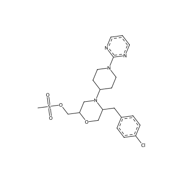 CS(=O)(=O)OCC1CN(C2CCN(c3ncccn3)CC2)C(Cc2ccc(Cl)cc2)CO1